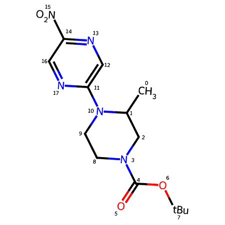 CC1CN(C(=O)OC(C)(C)C)CCN1c1cnc([N+](=O)[O-])cn1